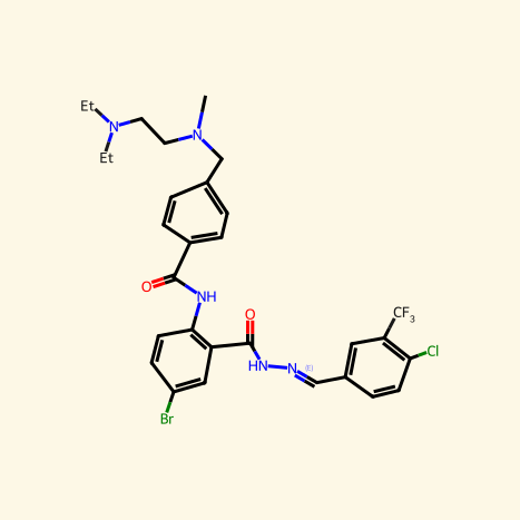 CCN(CC)CCN(C)Cc1ccc(C(=O)Nc2ccc(Br)cc2C(=O)N/N=C/c2ccc(Cl)c(C(F)(F)F)c2)cc1